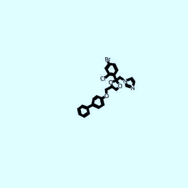 Clc1cc(Br)ccc1C1(Cn2ccnc2)OCC(COc2ccc(-c3ccccc3)cc2)O1